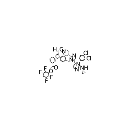 CN1CCC(c2nc(-c3ccc(Cl)c(Cl)c3)c(-c3ccnc(NC4CC4)n3)n2Cc2ccc(Oc3cccc(C(=O)COc4c(F)c(F)cc(F)c4F)c3)cc2)CC1